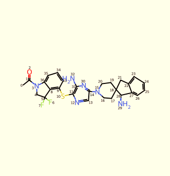 CC(=O)N1CC(F)(F)c2c(Sc3ncc(N4CCC5(CC4)Cc4ccccc4[C@H]5N)nc3N)cccc21